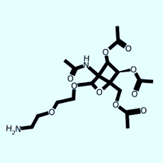 CC(=O)NC12C(OCCOCCN)OC1(COC(C)=O)[C@H](OC(C)=O)C2OC(C)=O